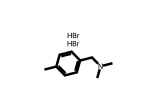 Br.Br.Cc1ccc(CN(C)C)cc1